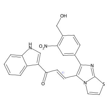 O=C(/C=C/c1c(-c2ccc(CO)c([N+](=O)[O-])c2)nc2sccn12)c1c[nH]c2ccccc12